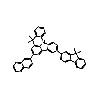 CC1(C)c2ccccc2-c2ccc(-c3ccc4c(c3)c3cc(-c5ccc6ccccc6c5)cc5c3n4-c3ccccc3C5(C)C)cc21